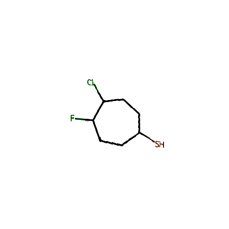 FC1CCC(S)CCC1Cl